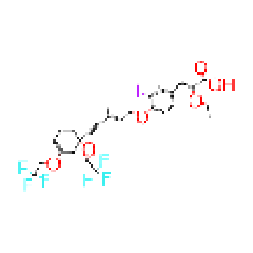 CCO[C@@H](Cc1ccc(OC/C=C(\C)C#CC2(OCC(F)(F)F)C=CC=C(OCC(F)(F)F)C2)c(I)c1)C(=O)O